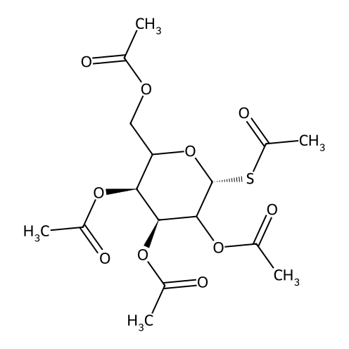 CC(=O)OCC1O[C@H](SC(C)=O)C(OC(C)=O)[C@@H](OC(C)=O)[C@H]1OC(C)=O